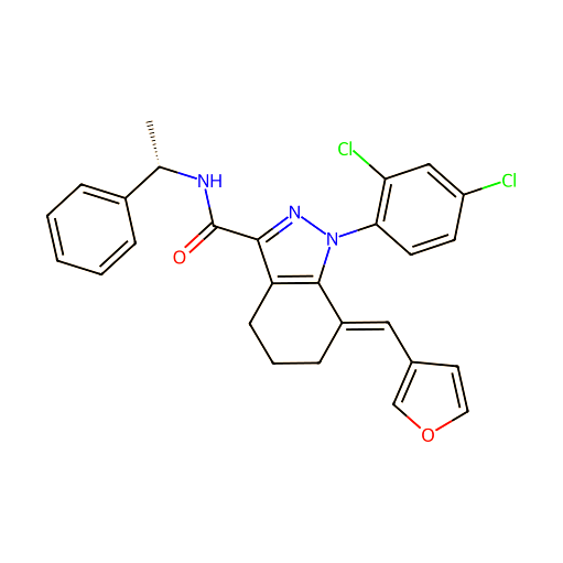 C[C@H](NC(=O)c1nn(-c2ccc(Cl)cc2Cl)c2c1CCC/C2=C\c1ccoc1)c1ccccc1